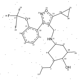 CCCC1CC(NCc2c(-c3ccccc3OC(F)(F)F)noc2C2CC2)CC(C)C1O